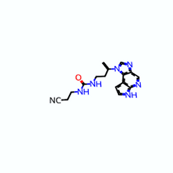 C=C(CCNC(=O)NCCC#N)n1cnc2cnc3[nH]ccc3c21